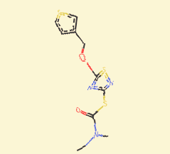 CN(C)C(=O)Sc1nsc(OCc2ccsc2)n1